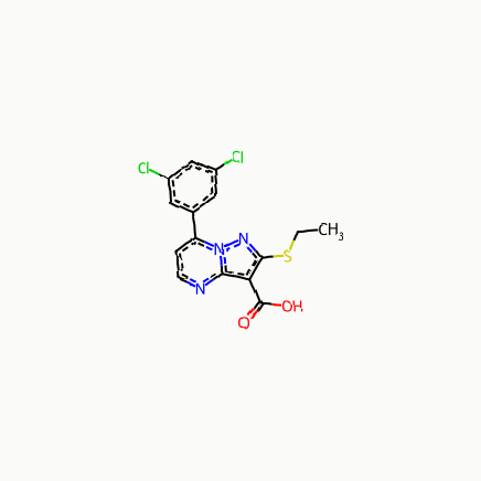 CCSc1nn2c(-c3cc(Cl)cc(Cl)c3)ccnc2c1C(=O)O